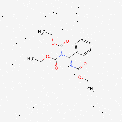 CCOC(=O)/N=C(\c1cc[c]cc1)N(C(=O)OCC)C(=O)OCC